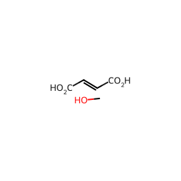 CO.O=C(O)C=CC(=O)O